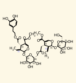 C/C=C1/[C@H](O[C@@H]2O[C@H](CO)[C@@H](O)[C@H](O)[C@H]2O)OC=C(C(=O)OC)[C@H]1CC(=O)OC[C@H]1O[C@@H](O[C@@H]2OC=C(C(=O)OC)[C@@H](CC(=O)OCCc3ccc(O)c(O)c3)/C2=C\C)[C@H](O)[C@@H](O)[C@@H]1O